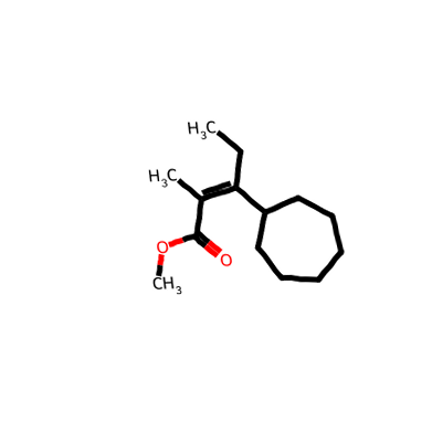 CCC(=C(C)C(=O)OC)C1CCCCCC1